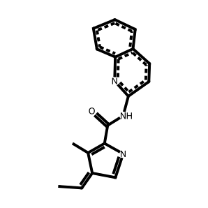 CC=C1C=NC(C(=O)Nc2ccc3ccccc3n2)=C1C